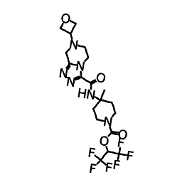 CC1(NC(=O)c2nnc3n2CCN(C2COC2)C3)CCN(C(=O)OC(C(F)(F)F)C(F)(F)F)CC1